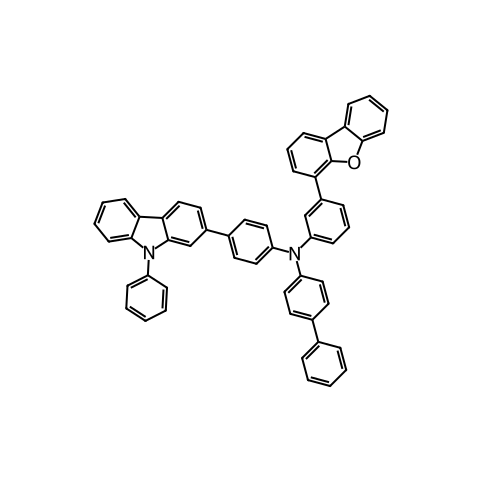 c1ccc(-c2ccc(N(c3ccc(-c4ccc5c6ccccc6n(-c6ccccc6)c5c4)cc3)c3cccc(-c4cccc5c4oc4ccccc45)c3)cc2)cc1